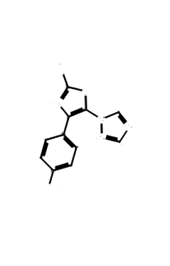 Cc1ccc(-c2nc(C)sc2-n2cncn2)cc1